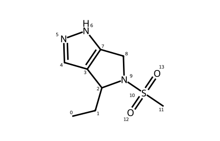 CCC1c2cn[nH]c2CN1S(C)(=O)=O